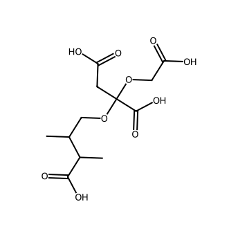 CC(COC(CC(=O)O)(OCC(=O)O)C(=O)O)C(C)C(=O)O